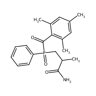 Cc1cc(C)c(C(=O)P(=O)(CC(C)C(N)=O)c2ccccc2)c(C)c1